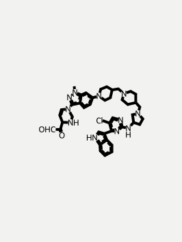 Cn1nc(N2C=CC(C(=O)C=O)NC2)c2ccc(N3CCC(CN4CCC(CN5CCC(Nc6ncc(Cl)c(-c7c[nH]c8ccccc78)n6)C5)CC4)CC3)cc21